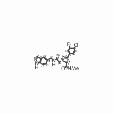 CNC(=O)c1nc(-c2ccc(Cl)c(F)c2)nn1CC(=O)NCc1ccc2[nH]ncc2c1